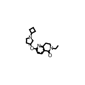 CCN1CCc2nc(O[C@H]3CCN(C4CCC4)C3)ccc2C1=O